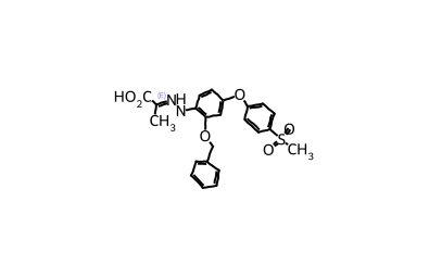 C/C(=N\Nc1ccc(Oc2ccc(S(C)(=O)=O)cc2)cc1OCc1ccccc1)C(=O)O